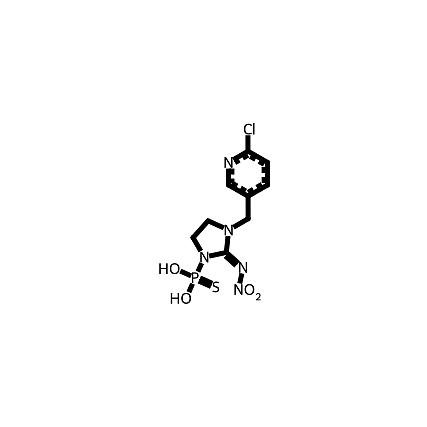 O=[N+]([O-])N=C1N(Cc2ccc(Cl)nc2)CCN1P(O)(O)=S